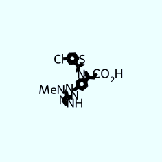 CNc1nc(-c2ccc3c(CC(=O)O)cn(CC4CSc5ccc(Cl)cc54)c3c2)nc2[nH]cnc12